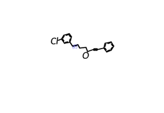 O=C(C#Cc1ccccc1)CC/C=C/c1cccc(Cl)c1